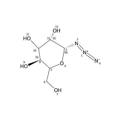 [N-]=[N+]=N[C@@H]1OC(CO)[C@@H](O)C(O)[C@@H]1O